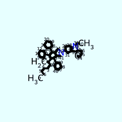 C=C(/C=C\C=C/CC)c1c(-c2ccccc2)c(-c2ccccc2)c2cn(-c3ccc4c(c3)c3ccccc3n4CC)cc2c1-c1ccccc1